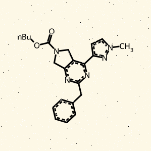 CCCCOC(=O)N1Cc2nc(Cc3ccccc3)nc(-c3ccn(C)n3)c2C1